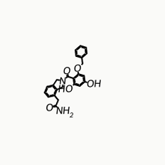 NC(=O)Cc1cccc2c1CN(C(=O)c1c(O)cc(O)cc1OCc1ccccc1)C2